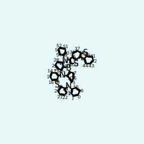 c1ccc(N2c3ccc4c(c3)N(c3ccccc3Sc3ccccc32)c2cccc3c2B4c2sc4c(ccc5sc6ccccc6c54)c2N3c2ccccc2)cc1